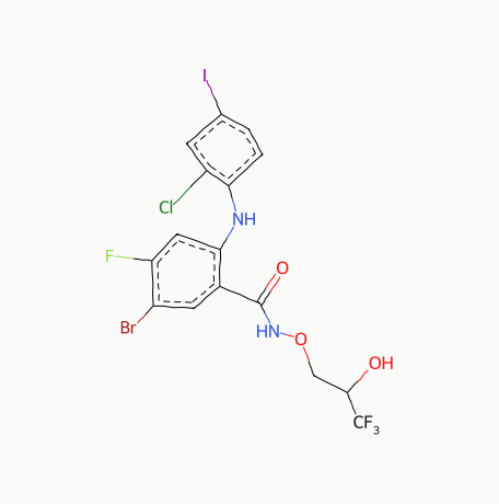 O=C(NOCC(O)C(F)(F)F)c1cc(Br)c(F)cc1Nc1ccc(I)cc1Cl